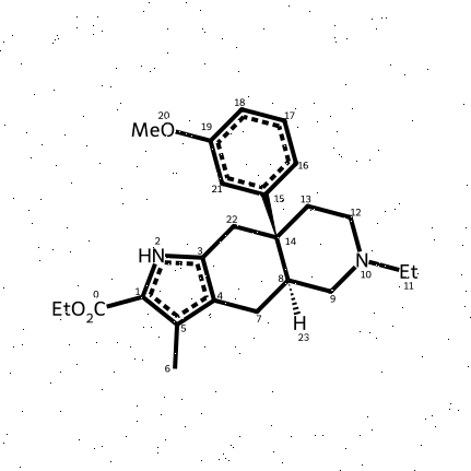 CCOC(=O)c1[nH]c2c(c1C)C[C@@H]1CN(CC)CC[C@@]1(c1cccc(OC)c1)C2